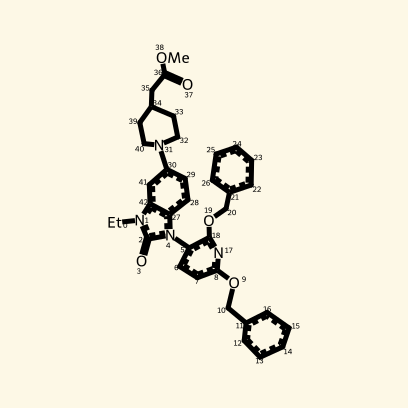 CCn1c(=O)n(-c2ccc(OCc3ccccc3)nc2OCc2ccccc2)c2ccc(N3CCC(CC(=O)OC)CC3)cc21